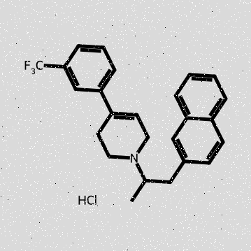 CC(Cc1ccc2ccccc2c1)N1CC=C(c2cccc(C(F)(F)F)c2)CC1.Cl